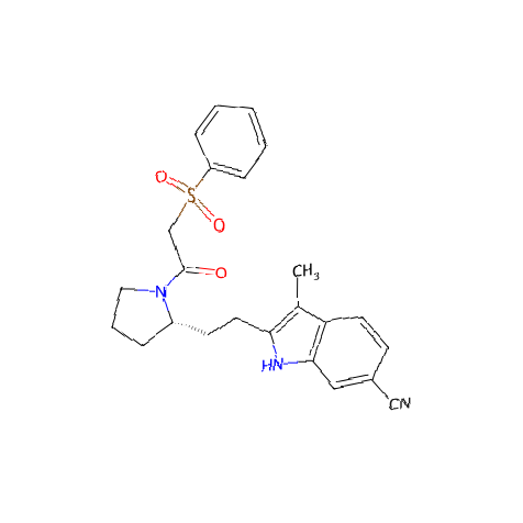 Cc1c(CC[C@@H]2CCCN2C(=O)CS(=O)(=O)c2ccccc2)[nH]c2cc(C#N)ccc12